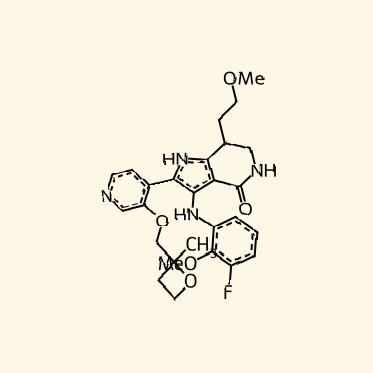 COCCC1CNC(=O)c2c1[nH]c(-c1ccncc1OCC1(C)CCO1)c2Nc1cccc(F)c1OC